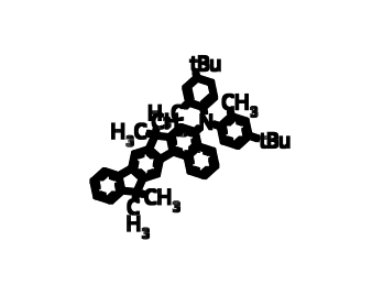 CC1=CC(C(C)(C)C)CC=C1N(c1ccc(C(C)(C)C)cc1C)c1cc2c(c3ccccc13)-c1cc3c(cc1C2(C)C)-c1ccccc1C3(C)C